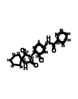 O=C(Nc1ccc(N2C(=O)NC3(CCCCC3)C2=O)c(Cl)c1)c1ccccn1